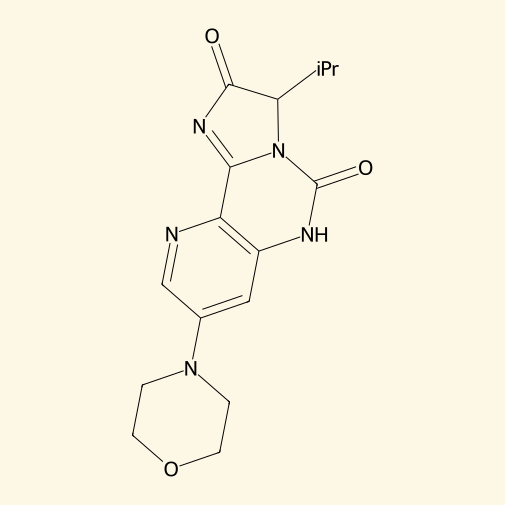 CC(C)C1C(=O)N=C2c3ncc(N4CCOCC4)cc3NC(=O)N21